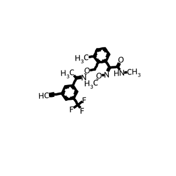 C#Cc1cc(/C(C)=N/OCc2c(C)cccc2/C(=N\OC)C(=O)NC)cc(C(F)(F)F)c1